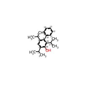 CC(C)c1cc(C(C)C)c(-c2ccccc2)c(C(C)C)c1O